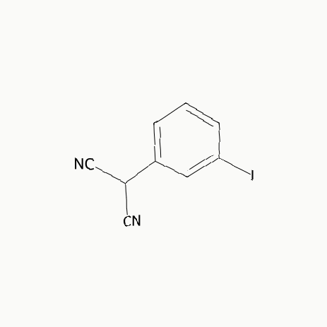 N#CC(C#N)c1cccc(I)c1